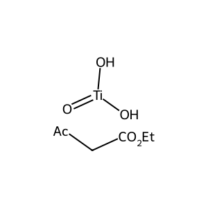 CCOC(=O)CC(C)=O.[O]=[Ti]([OH])[OH]